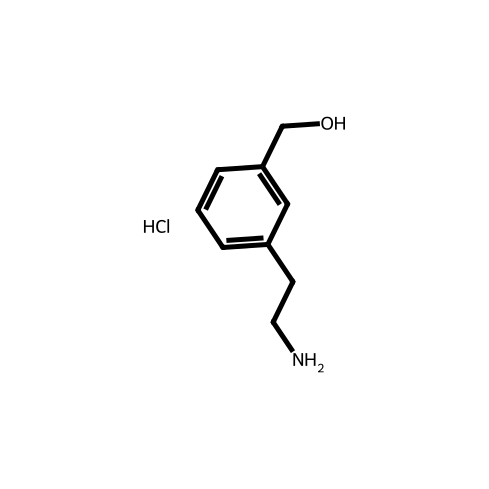 Cl.NCCc1cccc(CO)c1